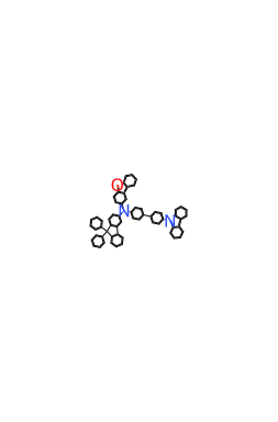 c1ccc(C2(c3ccccc3)c3ccccc3-c3cc(N(c4ccc(-c5ccc(-n6c7ccccc7c7ccccc76)cc5)cc4)c4ccc5oc6ccccc6c5c4)ccc32)cc1